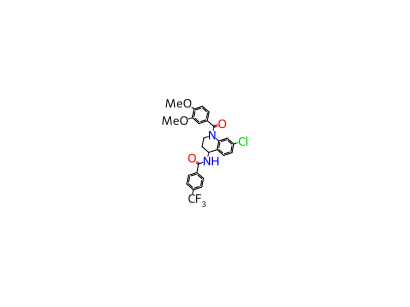 COc1ccc(C(=O)N2CCC(NC(=O)c3ccc(C(F)(F)F)cc3)c3ccc(Cl)cc32)cc1OC